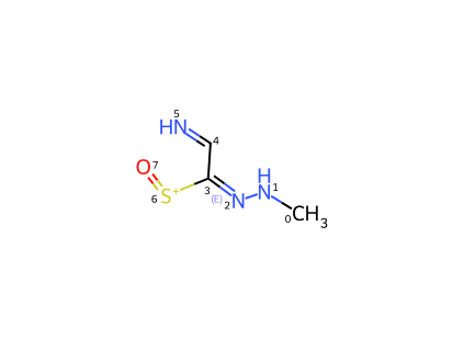 CN/N=C(\C=N)[S+]=O